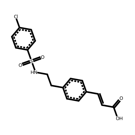 O=C(O)/C=C/c1ccc(CCNS(=O)(=O)c2ccc(Cl)cc2)cc1